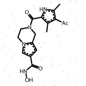 CC(=O)c1c(C)[nH]c(C(=O)N2CCn3cc(C(=O)NO)cc3C2)c1C